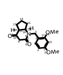 COc1ccc(CN2C(=O)CC(=O)[C@H]3CCC[C@H]32)c(OC)c1